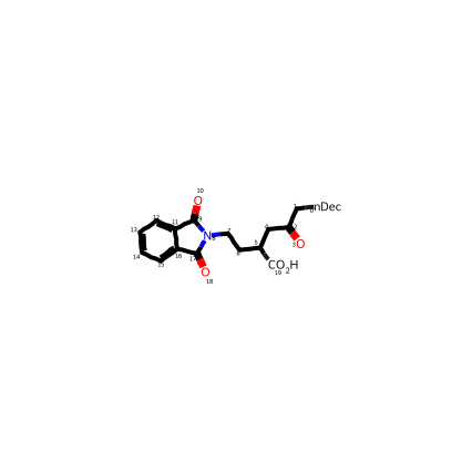 CCCCCCCCCCCC(=O)CC(CCN1C(=O)c2ccccc2C1=O)C(=O)O